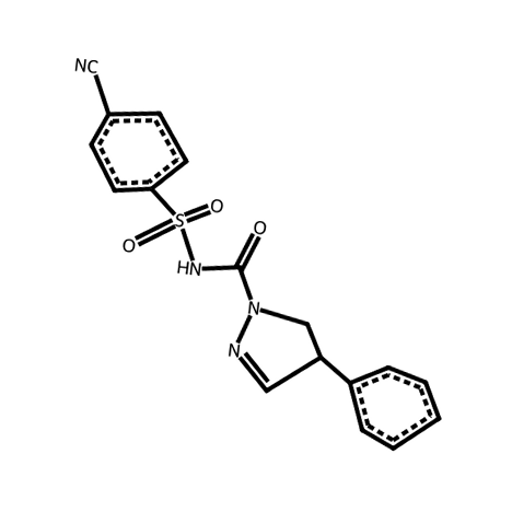 N#Cc1ccc(S(=O)(=O)NC(=O)N2CC(c3ccccc3)C=N2)cc1